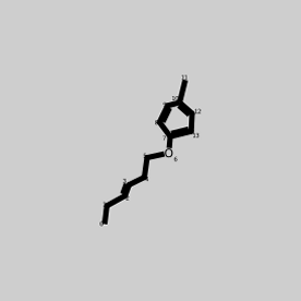 CCC=CCCOc1ccc(C)cc1